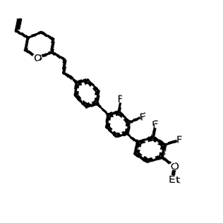 C=CC1CCC(CCc2ccc(-c3ccc(-c4ccc(OCC)c(F)c4F)c(F)c3F)cc2)OC1